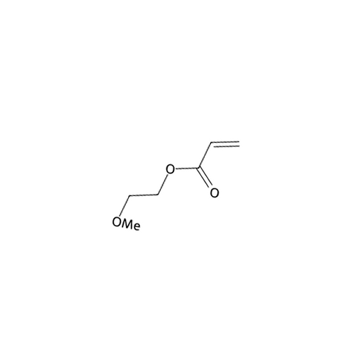 [CH2]OCCOC(=O)C=C